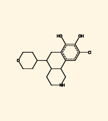 Oc1c(Cl)cc2c(c1O)CC(C1CCOCC1)C1CCNCC21